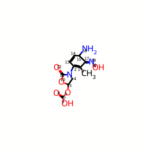 CC1=C(N2CC(OC(=O)O)OC2=O)C=CC(N)C1=NO